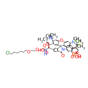 CN1c2cc3c(cc2C(CS(=O)(=O)O)=CC1(C)C)C1(c2cc4c(cc2O3)N(C)C(C)(C)C=C4CS(=O)(=O)O)c2cc(C(=O)NCCOCCOCCCCCCCl)ccc2C(=O)N1c1ccc2c(C(F)(F)F)cc(=O)oc2c1